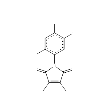 CC1=C(C)C(=O)N(c2cc(O)c(Cl)cc2F)C1=O